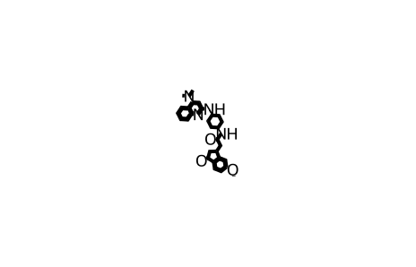 COc1ccc2c(c1)C(CC(=O)N[C@H]1CC[C@@H](Nc3cc(N(C)C)c4ccccc4n3)CC1)CC2=O